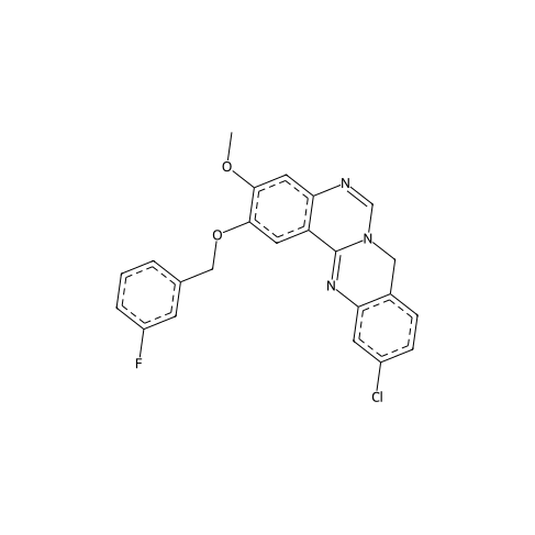 COc1cc2c(cc1OCc1cccc(F)c1)C1=Nc3cc(Cl)ccc3CN1C=N2